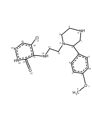 COc1ccc(C2CNCCN2CCNc2c(Cl)cn[nH]c2=O)cc1